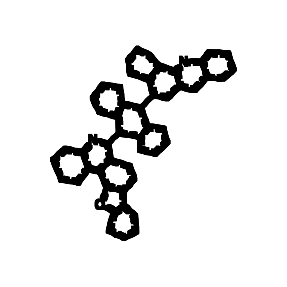 c1ccc2nc3c(cc(-c4c5ccccc5c(-c5nc6ccccc6c6c5ccc5c7ccccc7oc56)c5ccccc45)c4ccccc43)cc2c1